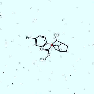 CC(C)(C)OC(=O)ON1C2CCC1C(O)C(c1ccc(Br)cc1)C2